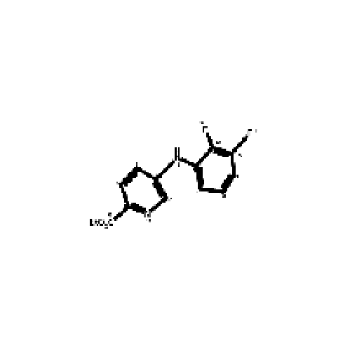 CCOC(=O)c1ccc(Nc2cccc(F)c2F)cn1